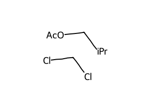 CC(=O)OCC(C)C.ClCCl